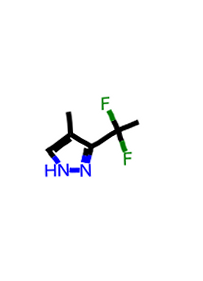 Cc1c[nH]nc1C(C)(F)F